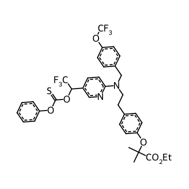 CCOC(=O)C(C)(C)Oc1ccc(CCN(Cc2ccc(OC(F)(F)F)cc2)c2ccc(C(OC(=S)Oc3ccccc3)C(F)(F)F)cn2)cc1